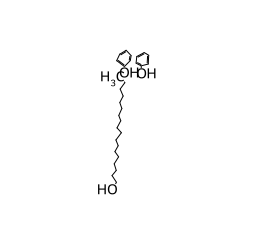 CCCCCCCCCCCCCCCCCCO.Oc1ccccc1.Oc1ccccc1